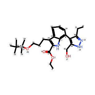 CCOC(=O)c1[nH]c2c(-c3c(CC)n[nH]c3CO)cccc2c1CCCO[Si](C)(C)C(C)(C)C